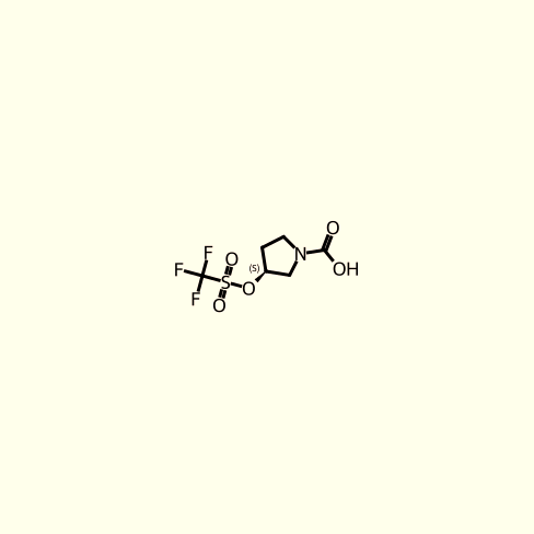 O=C(O)N1CC[C@H](OS(=O)(=O)C(F)(F)F)C1